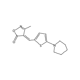 CC1=NOC(=O)C1=Cc1ccc(N2CCCCC2)s1